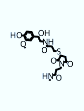 CNC(=O)CCN1C(=O)CC(SCCC(=O)NCC(O)c2ccc(O)c(OC)c2)C1=O